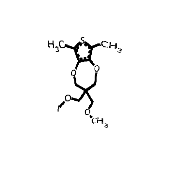 COCC1(COI)COc2c(C)sc(C)c2OC1